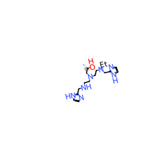 CCN(CCN(CCNCc1ncc[nH]1)C[C@H](C)O)Cc1ncc[nH]1